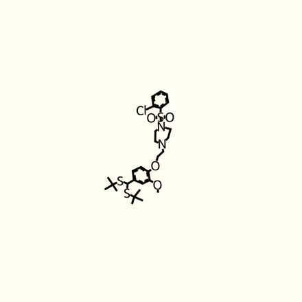 COc1cc(C(SC(C)(C)C)SC(C)(C)C)ccc1OCCN1CCN(S(=O)(=O)c2ccccc2Cl)CC1